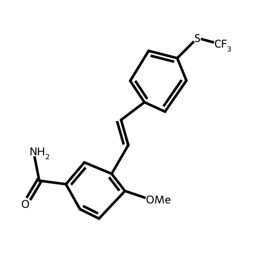 COc1ccc(C(N)=O)cc1/C=C/c1ccc(SC(F)(F)F)cc1